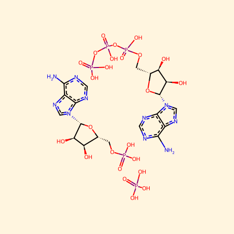 Nc1ncnc2c1ncn2[C@@H]1O[C@H](COP(=O)(O)O)[C@@H](O)[C@H]1O.Nc1ncnc2c1ncn2[C@@H]1O[C@H](COP(=O)(O)OP(=O)(O)OP(=O)(O)O)[C@@H](O)[C@H]1O.O=P(O)(O)O